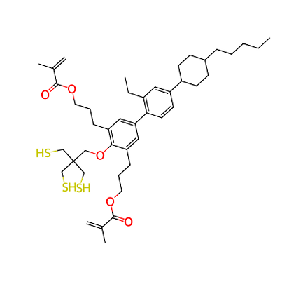 C=C(C)C(=O)OCCCc1cc(-c2ccc(C3CCC(CCCCC)CC3)cc2CC)cc(CCCOC(=O)C(=C)C)c1OCC(CS)(CS)CS